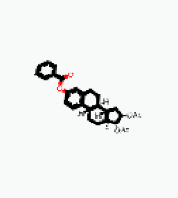 CC(=O)O[C@@H]1C[C@H]2[C@@H]3CCc4cc(OC(=O)c5ccccc5)ccc4[C@H]3CC[C@]2(C)[C@H]1OC(C)=O